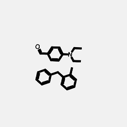 CCN(CC)c1ccc(C=O)cc1.Cc1ccccc1Cc1ccccc1